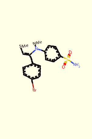 CNN(/C(=C\SC)c1ccc(Br)cc1)c1ccc(S(N)(=O)=O)cc1